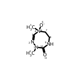 CN1N=C[N+](C)([O-])CCNC1=O